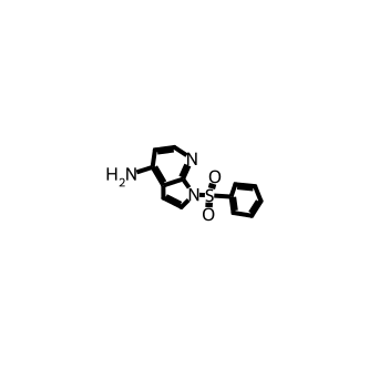 Nc1ccnc2c1ccn2S(=O)(=O)c1ccccc1